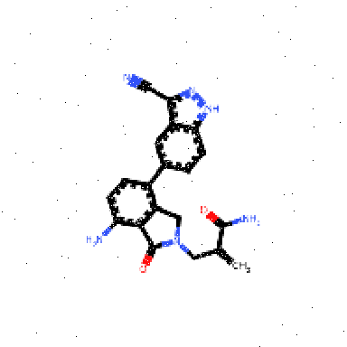 C=C(CN1Cc2c(-c3ccc4[nH]nc(C#N)c4c3)ccc(N)c2C1=O)C(N)=O